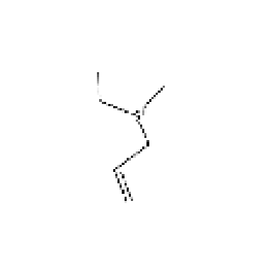 C=CC[S+](C)CC